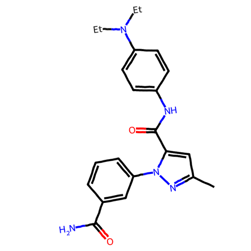 CCN(CC)c1ccc(NC(=O)c2cc(C)nn2-c2cccc(C(N)=O)c2)cc1